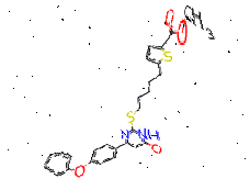 COC(=O)c1ccc(CCCCCSc2nc(-c3ccc(Oc4ccccc4)cc3)cc(=O)[nH]2)s1